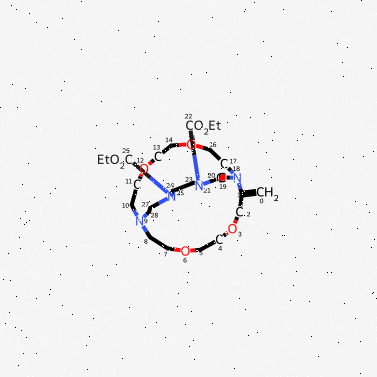 C=C1COCCOCCN2CCOCCOCCN1CCN(C(=O)OCC)CCN(C(=O)OCC)CC2